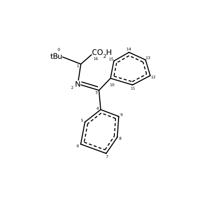 CC(C)(C)C(N=C(c1ccccc1)c1ccccc1)C(=O)O